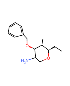 CC[C@H]1OCC(N)[C@@H](OCc2ccccc2)[C@H]1C